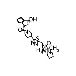 CC(C)(C(=O)NCc1nnc(C2CCN(C(=O)[C@@H]3C[C@H](O)c4ccccc43)CC2)s1)N1CCCC1